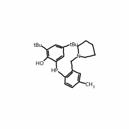 Cc1ccc(Pc2cc(C(C)(C)C)cc(C(C)(C)C)c2O)c(CN2CCCCC2)c1